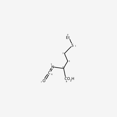 CCSCCC(N=C=O)C(=O)O